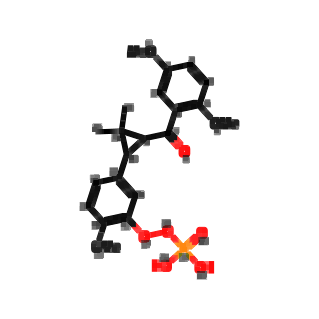 COc1ccc(OC)c(C(=O)C2C(c3ccc(OC)c(OOP(=O)(O)O)c3)C2(C)C)c1